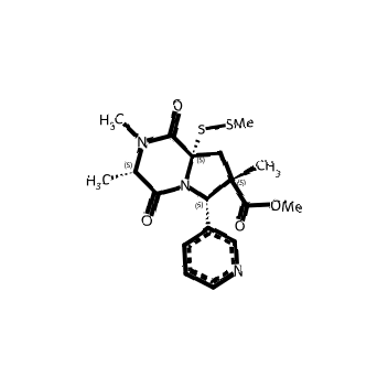 COC(=O)[C@@]1(C)C[C@]2(SSC)C(=O)N(C)[C@@H](C)C(=O)N2[C@H]1c1cccnc1